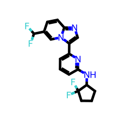 FC(F)c1ccc2ncc(-c3cccc(NC4CCCC4(F)F)n3)n2c1